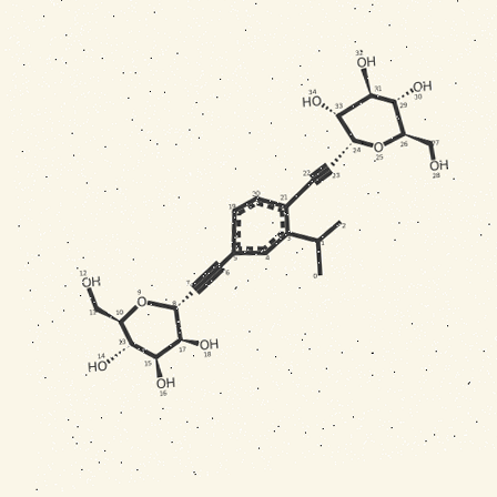 CC(C)c1cc(C#C[C@H]2O[C@H](CO)[C@@H](O)[C@H](O)[C@@H]2O)ccc1C#C[C@H]1O[C@H](CO)[C@@H](O)[C@H](O)[C@H]1O